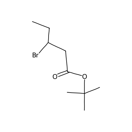 CCC(Br)CC(=O)OC(C)(C)C